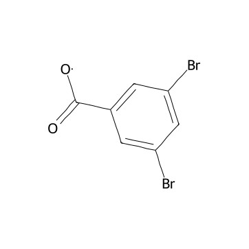 [O]C(=O)c1cc(Br)cc(Br)c1